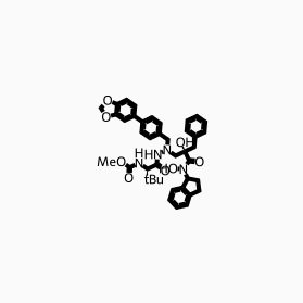 COC(=O)N[C@H](C(=O)NN(Cc1ccc(-c2ccc3c(c2)OCO3)cc1)C[C@@](O)(Cc1ccccc1)C(=O)N(O)C1CCc2ccccc21)C(C)(C)C